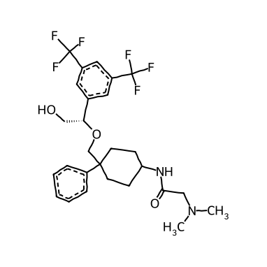 CN(C)CC(=O)NC1CCC(CO[C@H](CO)c2cc(C(F)(F)F)cc(C(F)(F)F)c2)(c2ccccc2)CC1